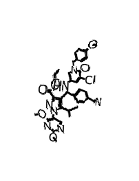 CCOC(=O)c1nn(-c2cnc(OC)nc2OC)c(C(C)C)c1C(Nc1cc(Cl)c(=O)n(Cc2ccc(OC)cc2)c1)c1ccc(C#N)cc1